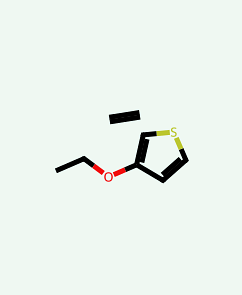 C=C.CCOc1ccsc1